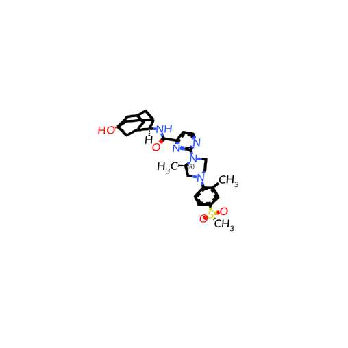 Cc1cc(S(C)(=O)=O)ccc1N1CCN(c2nccc(C(=O)N[C@H]3C4CC5CC3C[C@](O)(C5)C4)n2)[C@H](C)C1